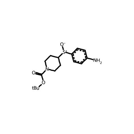 CC(C)(C)OC(=O)N1CCC([S+]([O-])c2ccc(N)cc2)CC1